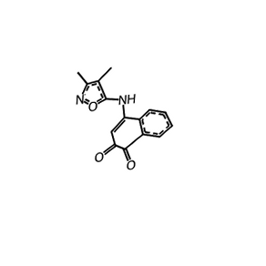 Cc1noc(NC2=CC(=O)C(=O)c3ccccc32)c1C